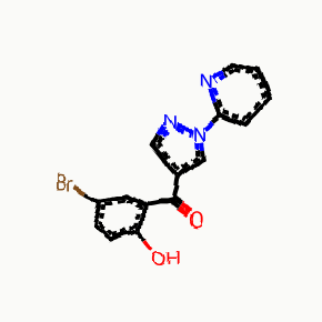 O=C(c1cnn(-c2ccccn2)c1)c1cc(Br)ccc1O